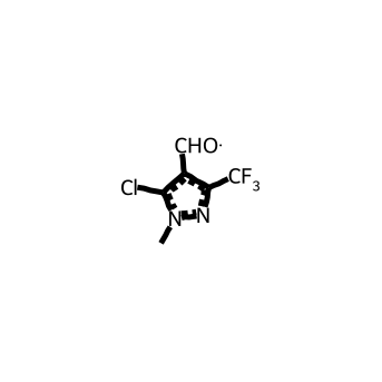 Cn1nc(C(F)(F)F)c([C]=O)c1Cl